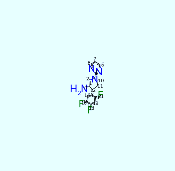 N[C@H]1CN(c2ncccn2)CCC1c1cc(F)c(F)cc1F